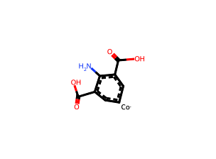 Nc1c(C(=O)O)cccc1C(=O)O.[Co]